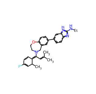 CCNc1nc2ccc(-c3ccc4c(c3)CN(/C(C=C(C)C)=C3\C=CC(F)=CC3C)CCO4)cc2[nH]1